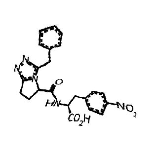 O=C(N[C@@H](Cc1ccc([N+](=O)[O-])cc1)C(=O)O)C1CCc2nnc(Cc3ccccc3)n21